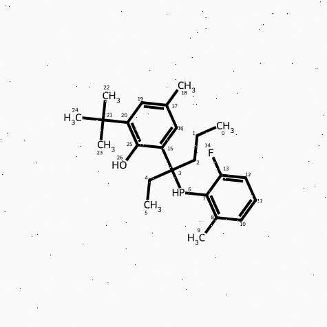 CCCC(CC)(Pc1c(C)cccc1F)c1cc(C)cc(C(C)(C)C)c1O